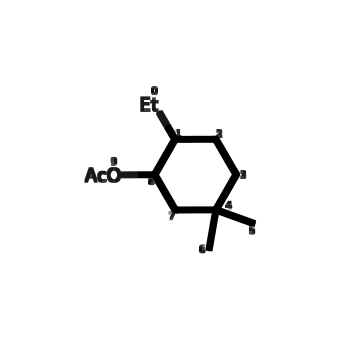 CCC1CCC(C)(C)CC1OC(C)=O